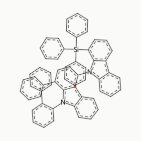 c1ccc(-c2ccccc2-n2c3ccccc3c3c(-n4c5ccccc5c5cccc([Si](c6ccccc6)(c6ccccc6)c6ccccc6)c54)ccc(-c4ccccc4)c32)cc1